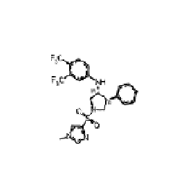 Cn1cnc(S(=O)(=O)N2C[C@H](Nc3ccc(C(F)(F)F)c(C(F)(F)F)c3)[C@@H](c3ccccc3)C2)c1